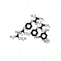 C=C(C)C(=O)O.C=C(C)C(=O)O.C=C(C)C(=O)Oc1ccccc1.C=C(C)C(=O)Oc1ccccc1.O.O.Oc1cccc(O)c1